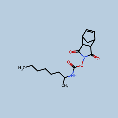 CCCCCCC(C)NC(=O)ON1C(=O)C2C3C=CC(C3)C2C1=O